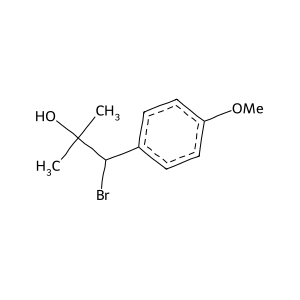 COc1ccc(C(Br)C(C)(C)O)cc1